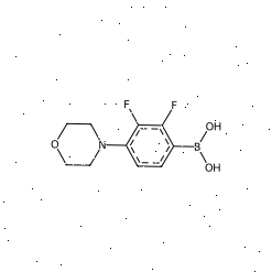 OB(O)c1ccc(N2CCOCC2)c(F)c1F